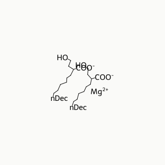 CCCCCCCCCCCCCCCCC(CCO)C(=O)[O-].CCCCCCCCCCCCCCCCC(CCO)C(=O)[O-].[Mg+2]